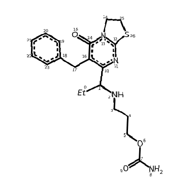 CCC(NCCCOC(N)=O)c1nc2n(c(=O)c1Cc1ccccc1)CCS2